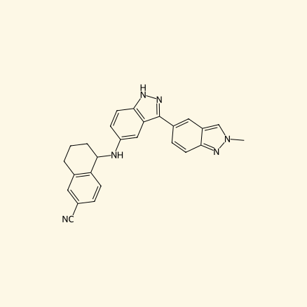 Cn1cc2cc(-c3n[nH]c4ccc(NC5CCCc6cc(C#N)ccc65)cc34)ccc2n1